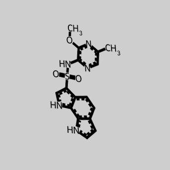 COc1nc(C)cnc1NS(=O)(=O)c1c[nH]c2c1ccc1cc[nH]c12